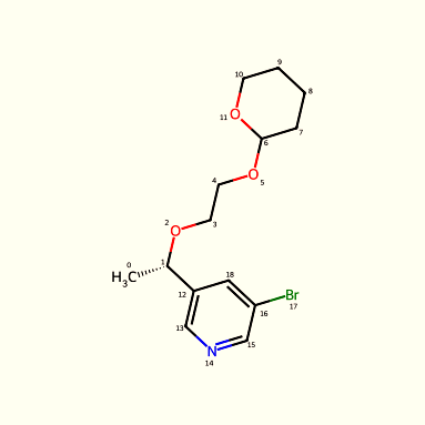 C[C@H](OCCOC1CCCCO1)c1cncc(Br)c1